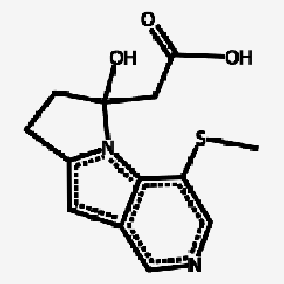 CSc1cncc2cc3n(c12)C(O)(CC(=O)O)CC3